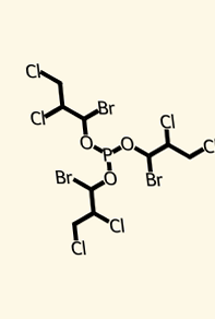 ClCC(Cl)C(Br)OP(OC(Br)C(Cl)CCl)OC(Br)C(Cl)CCl